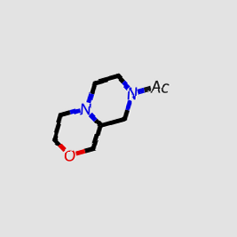 CC(=O)N1CCN2CCOCC2C1